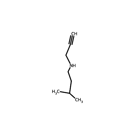 C#CCNCCC(C)C